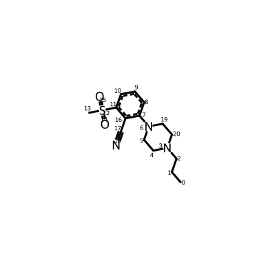 CCCN1CCN(c2cccc(S(C)(=O)=O)c2C#N)CC1